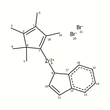 CC1=C(C)C(C)(C)[C]([Zr+2][CH]2C=Cc3ccccc32)=C1C.[Br-].[Br-]